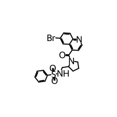 O=C(c1ccnc2ccc(Br)cc12)N1CCCC1CNS(=O)(=O)c1ccccc1